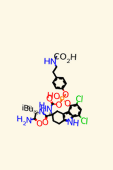 CC[C@H](C)[C@H](NC(=O)[C@@]1(NC(=O)OP(=O)(O)Oc2ccc(CCNC(=O)O)cc2)CCc2[nH]c3c(Cl)cc(Cl)cc3c2C1)C(N)=O